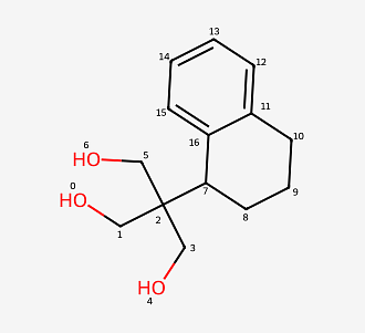 OCC(CO)(CO)C1CCCc2ccccc21